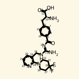 N/C(=N\C(=O)c1ccc(C[C@H](N)C(=O)O)cc1)NCc1cccnc1N1CCC(F)(F)CC1